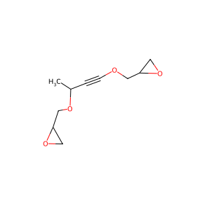 CC(C#COCC1CO1)OCC1CO1